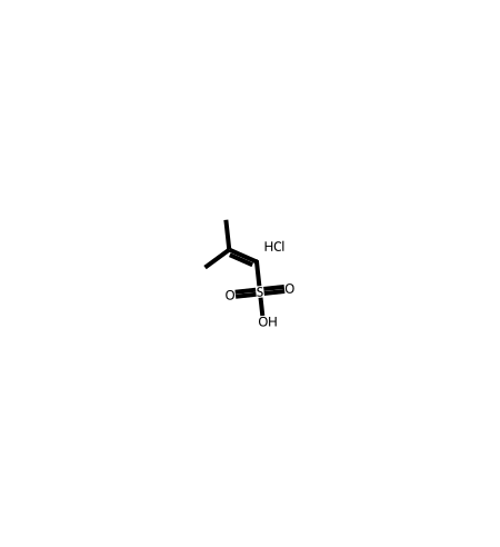 CC(C)=CS(=O)(=O)O.Cl